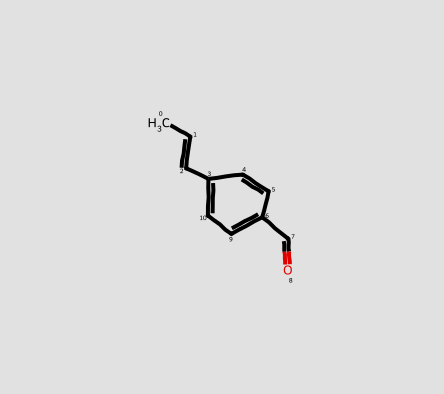 CC=Cc1ccc(C=O)cc1